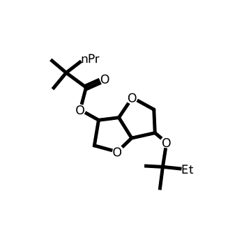 CCCC(C)(C)C(=O)OC1COC2C(OC(C)(C)CC)COC12